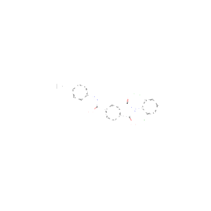 Cc1ccc(NC(=O)c2ccc3c(c2)C(=O)N(c2c(Cl)cccc2Cl)C3=O)cc1C